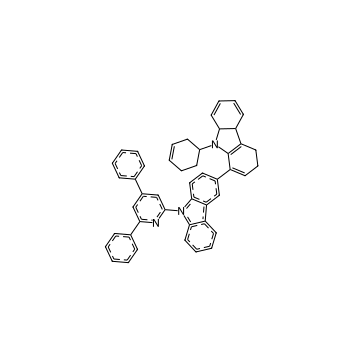 C1=CC2C3=C(C(c4ccc5c(c4)c4ccccc4n5-c4cc(-c5ccccc5)cc(-c5ccccc5)n4)=CCC3)N(C3CC=CCC3)C2C=C1